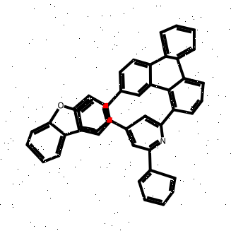 c1ccc(-c2cc(-c3ccccc3)nc(-c3cccc4c5ccccc5c5ccc(-c6ccc7c(c6)oc6ccccc67)cc5c34)c2)cc1